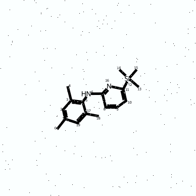 Cc1cc(C)c(Nc2cccc([Si](C)(C)C)n2)c(C)c1